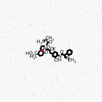 CN(C)C(=O)COC(OC1CCC(C)(C(=O)O)CC1)(C(=O)Cc1cc(Cl)c(NC(=O)c2cn(C)c3ccccc23)cc1F)N1CCCC1